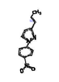 C/C=C/c1ccn(-c2ccc([N+](=O)[O-])cc2)n1